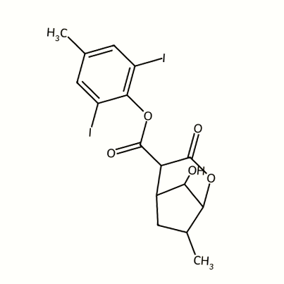 Cc1cc(I)c(OC(=O)C2C(=O)OC3C(C)CC2C3O)c(I)c1